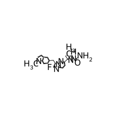 CC/C(=N\NC(N)=O)c1ccc2ncc(Cc3cc4ccn(C)c4cc3F)n2n1